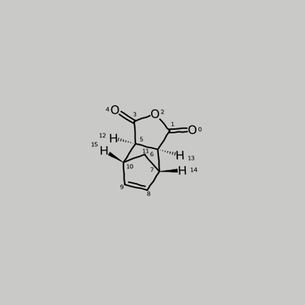 O=C1OC(=O)[C@H]2[C@@H]1[C@@H]1C=C[C@H]2C1